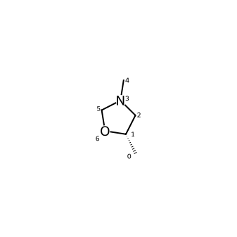 C[C@H]1CN(C)CO1